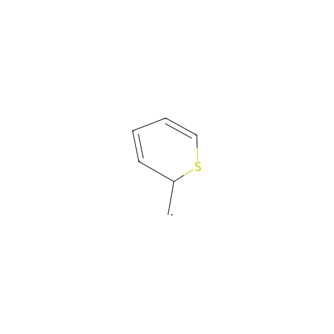 [CH2]C1C=CC=CS1